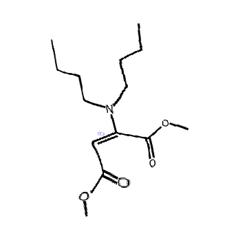 CCCCN(CCCC)/C(=C/C(=O)OC)C(=O)OC